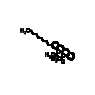 CCCCCCCCCc1ccc(C=C(Cc2ccccc2)C(OC(C)=O)OC(C)=O)cc1